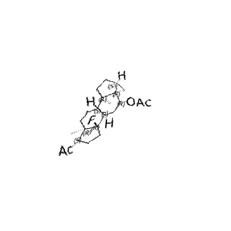 CC(=O)O[C@@H]1C[C@@H]2[C@H](CC[C@]3(C)[C@@H](C(C)=O)CC[C@@]23F)[C@@]2(C)CC[C@H]3C[C@]312